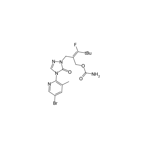 Cc1cc(Br)cnc1-n1cnn(C/C(COC(N)=O)=C(\F)C(C)(C)C)c1=O